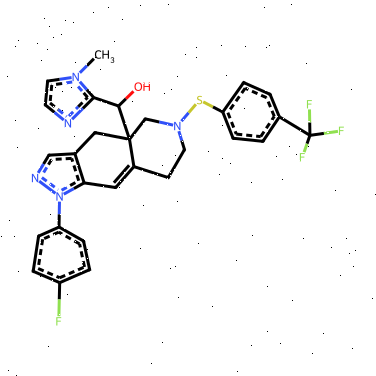 Cn1ccnc1C(O)C12Cc3cnn(-c4ccc(F)cc4)c3C=C1CCN(Sc1ccc(C(F)(F)F)cc1)C2